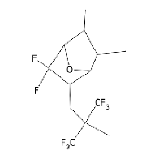 CC1C(C)C2OC1C(CC(C)(C(F)(F)F)C(F)(F)F)C2(F)F